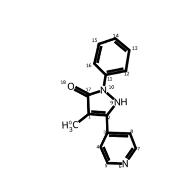 Cc1c(-c2ccncc2)[nH]n(-c2ccccc2)c1=O